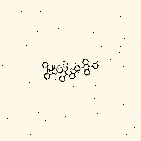 C=Cc1c(/C=C\C)c(-c2cccc3c2sc2ccc(-c4c5ccccc5c(-c5ccccc5)c5ccccc45)cc23)c2ccccc2c1-c1ccc2c(c1)c1ccccc1n2-c1ccccc1